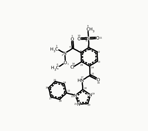 CON(C)C(=O)c1c(S(C)(=O)=O)ccc(C(=O)Nc2ncnn2-c2ccccc2)c1Cl